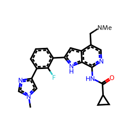 CNCc1cnc(NC(=O)C2CC2)c2[nH]c(-c3cccc(-c4cn(C)cn4)c3F)cc12